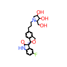 O=C1Nc2ccc(F)cc2/C1=C1\OCc2cc(CCCN3CC(O)C(O)C3CO)ccc21